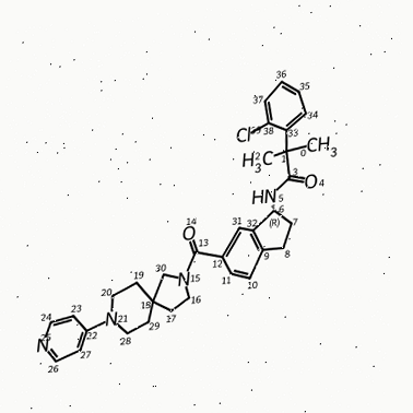 CC(C)(C(=O)N[C@@H]1CCc2ccc(C(=O)N3CCC4(CCN(c5ccncc5)CC4)C3)cc21)c1ccccc1Cl